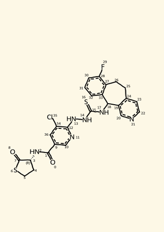 O=C(N[C@@H]1CCSC1=O)c1cnc(NNC(=S)NC2c3cnccc3CCc3c(F)cccc32)c(Cl)c1